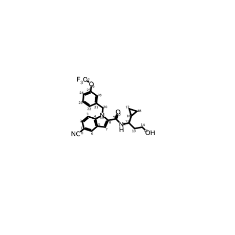 N#Cc1ccc2c(c1)cc(C(=O)NC(CCO)C1CC1)n2Cc1cccc(OC(F)(F)F)c1